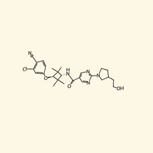 CC1(C)[C@H](NC(=O)c2cnc(N3CCC(CCO)C3)nc2)C(C)(C)[C@H]1Oc1ccc(C#N)c(Cl)c1